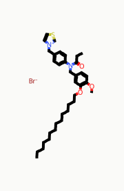 CCCCCCCCCCCCCCOc1cc(CN(C(=O)CC)c2ccc(C[n+]3ccsc3)cc2)ccc1OC.[Br-]